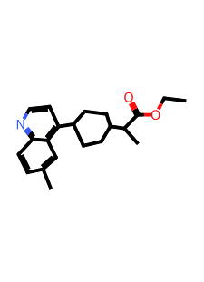 CCOC(=O)C(C)C1CCC(c2ccnc3ccc(C)cc23)CC1